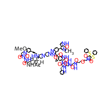 COc1ccc(C#CCNC2(C)CCN(C3CCN(c4nc([C@@](COCNC(=O)CNC(=O)[C@H](Cc5ccccc5)NC(=O)CNC(=O)CNC(=O)CCOCCN5C(=O)C(Sc6ccccc6)=C(Sc6ccccc6)C5=O)(OC5CC5)c5ccccc5)c5cc(-c6cn(C)c(=O)c7[nH]ccc67)ccc5n4)CC3)CC2)cc1N1CCC(=O)N(CNC(=O)[C@H](CC(=O)O)NC(C)=O)C1=O